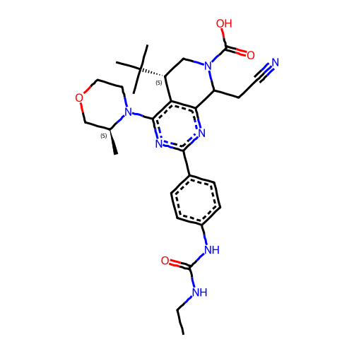 CCNC(=O)Nc1ccc(-c2nc3c(c(N4CCOC[C@@H]4C)n2)[C@H](C(C)(C)C)CN(C(=O)O)C3CC#N)cc1